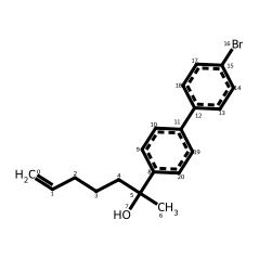 C=CCCCC(C)(O)c1ccc(-c2ccc(Br)cc2)cc1